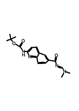 CN(C)/C=N/C(=O)c1ccc2nc(NC(=O)OC(C)(C)C)ccc2c1